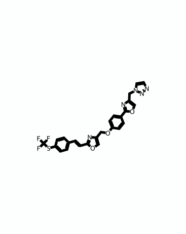 FC(F)(F)Sc1ccc(C=Cc2nc(COc3ccc(-c4nc(Cn5ccnn5)co4)cc3)co2)cc1